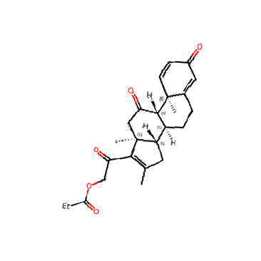 CCC(=O)OCC(=O)C1=C(C)C[C@H]2[C@@H]3CCC4=CC(=O)C=C[C@]4(C)[C@H]3C(=O)C[C@]12C